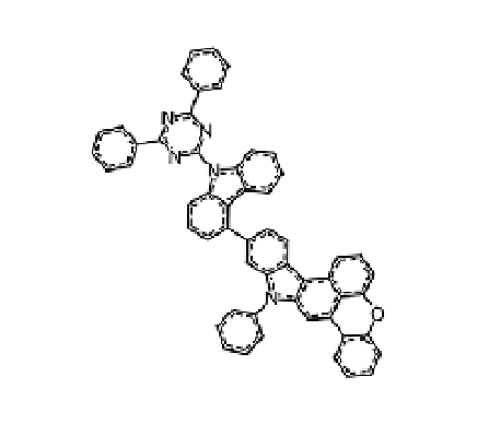 c1ccc(-c2nc(-c3ccccc3)nc(-n3c4ccccc4c4c(-c5ccc6c7c8cccc9c8c(cc7n(-c7ccccc7)c6c5)-c5ccccc5O9)cccc43)n2)cc1